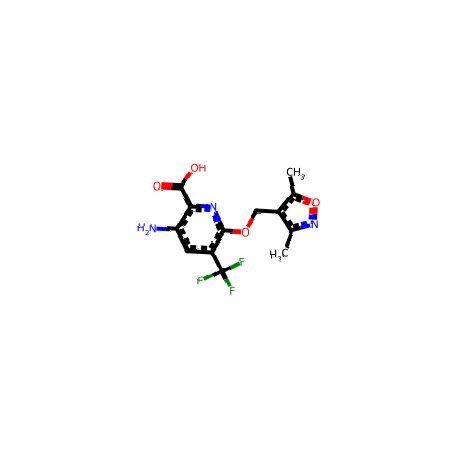 Cc1noc(C)c1COc1nc(C(=O)O)c(N)cc1C(F)(F)F